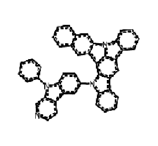 c1ccc(-n2c3ccc(-n4c5ccccc5c5cc6c7ccccc7n7c8cc9ccccc9cc8c(c54)c67)cc3c3ccncc32)cc1